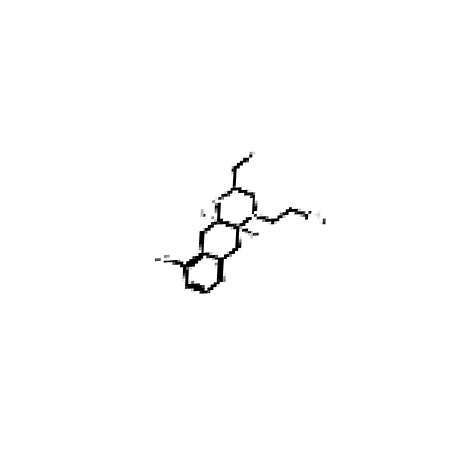 CCCN1C[C@H](CF)O[C@@H]2Cc3c(O)cccc3C[C@H]21